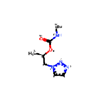 C[C@H](Cn1ccnn1)OC(=O)NC(C)(C)C